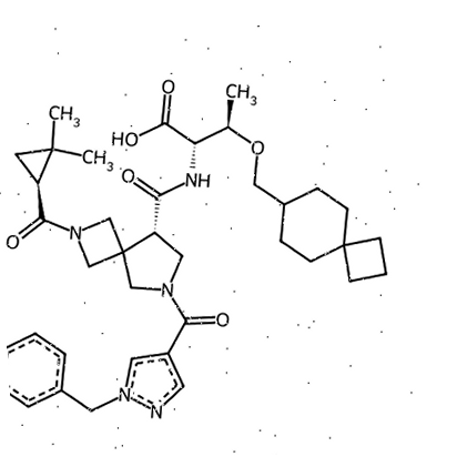 C[C@@H](OCC1CCC2(CCC2)CC1)[C@H](NC(=O)[C@@H]1CN(C(=O)c2cnn(Cc3ccccc3)c2)CC12CN(C(=O)[C@H]1CC1(C)C)C2)C(=O)O